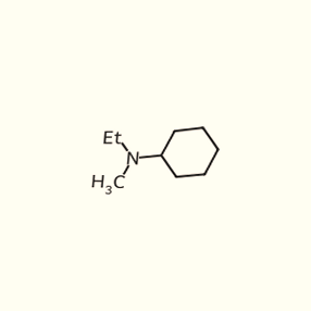 CCN(C)C1CCCCC1